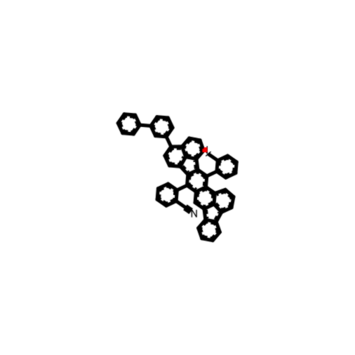 N#Cc1ccccc1-c1c2cc3c4ccccc4c4cccc(c2c(-c2ccccc2C#N)c2c5cccc6c(-c7cccc(-c8ccccc8)c7)ccc(c12)c65)c43